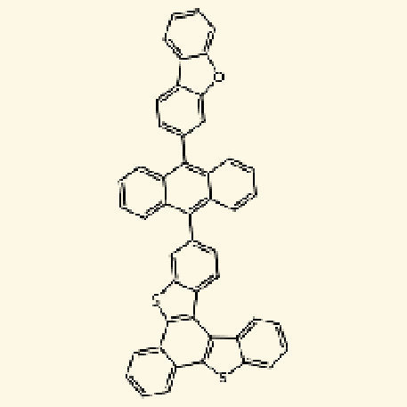 c1ccc2c(c1)oc1cc(-c3c4ccccc4c(-c4ccc5c(c4)sc4c6ccccc6c6sc7ccccc7c6c54)c4ccccc34)ccc12